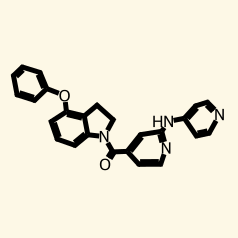 O=C(c1ccnc(Nc2ccncc2)c1)N1CCc2c(Oc3ccccc3)cccc21